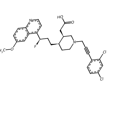 COc1ccc2nccc([C@H](F)CC[C@@H]3CCN(CC#Cc4ccc(Cl)cc4Cl)C[C@@H]3CC(=O)O)c2c1